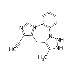 C#Cc1ncn2c1CC1=C(C)NNN1c1ccccc1-2